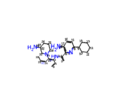 C=C/C(NC(=C)c1nc(C2CCCCC2)ccc1N)=C(\C=C/C)N1CCC[C@H](N)C1